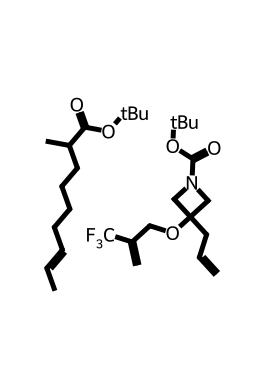 C=CCC1(OCC(=C)C(F)(F)F)CN(C(=O)OC(C)(C)C)C1.CC=CCCCCC(C)C(=O)OC(C)(C)C